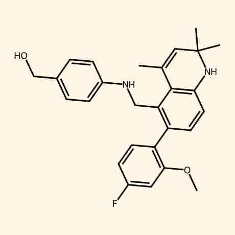 COc1cc(F)ccc1-c1ccc2c(c1CNc1ccc(CO)cc1)C(C)=CC(C)(C)N2